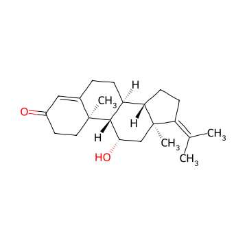 CC(C)=C1CC[C@H]2[C@@H]3CCC4=CC(=O)CC[C@]4(C)[C@H]3[C@@H](O)C[C@]12C